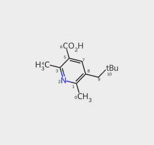 Cc1nc(C)c(C(=O)O)cc1CC(C)(C)C